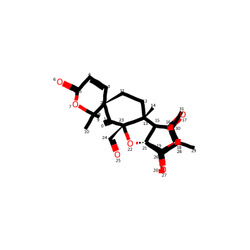 C=C1[C@]2(C=CC(=O)OC2(C)C)CC[C@]2(C)[C@]34C(=O)O[C@H](C)[C@@]3(O[C@]12C=O)C(=O)C(C)=C4C